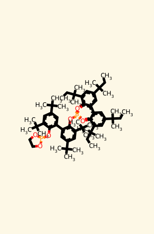 CCC(C)(C)c1cc(C(C)(C)CC)c2op(Oc3c(-c4cc(C(C)(C)C)cc(C(C)(C)C)c4OP4OCCO4)cc(C(C)(C)C)cc3C(C)(C)C)oc3c(C(C)(C)CC)cc(C(C)(C)CC)cc3c2c1